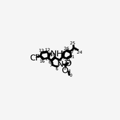 CCOC(=O)N1CCc2c([nH]c3ccc(Cl)cc23)C1c1ccc(C(C)C)cc1